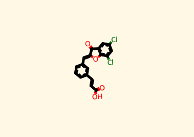 O=C(O)/C=C/c1cccc(/C=C2\Oc3c(Cl)cc(Cl)cc3C2=O)c1